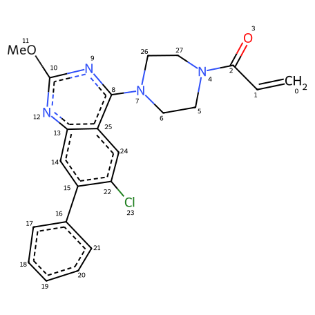 C=CC(=O)N1CCN(c2nc(OC)nc3cc(-c4ccccc4)c(Cl)cc23)CC1